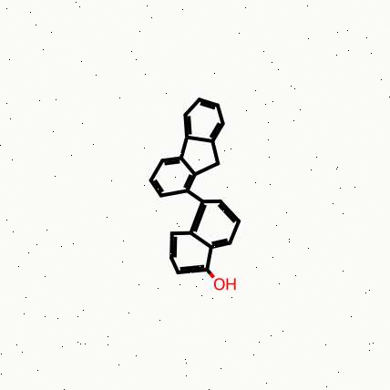 Oc1cccc2c(-c3cccc4c3Cc3ccccc3-4)cccc12